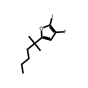 CCCCC(C)(C)c1cc(F)c(I)o1